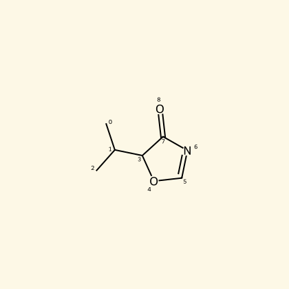 CC(C)C1OC=NC1=O